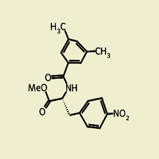 COC(=O)[C@@H](Cc1ccc([N+](=O)[O-])cc1)NC(=O)c1cc(C)cc(C)c1